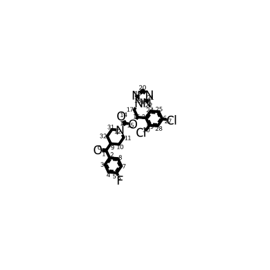 O=C(c1ccc(F)cc1)C1CCN(C(=O)OC(Cn2ncnn2)c2ccc(Cl)cc2Cl)CC1